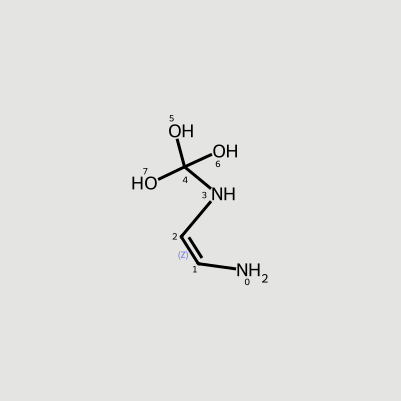 N/C=C\NC(O)(O)O